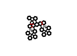 c1ccc(N2c3ccccc3C(c3ccccc3)(c3ccccc3)c3cccc(-c4cccc5c(-c6cccc7c6C6(CCCC6)c6ccccc6-7)c6cccc(-c7cccc8c7N(c7ccccc7)c7ccccc7C8(c7ccccc7)c7ccccc7)c6cc45)c32)cc1